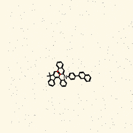 CC1(C)c2ccccc2-c2c(-c3ccccc3N(c3ccc(-c4ccc5ccccc5c4)cc3)c3ccc4ccccc4c3)cccc21